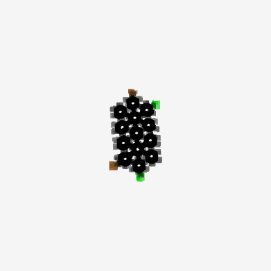 Clc1ccc(-c2c(-c3ccccc3)c(-c3ccc(-c4c(-c5ccccc5)c(-c5ccccc5)c(-c5ccc(Cl)cc5)c(-c5ccc(Br)cc5)c4-c4ccccc4)cc3)c(-c3ccccc3)c(-c3ccccc3)c2-c2ccc(Br)cc2)cc1